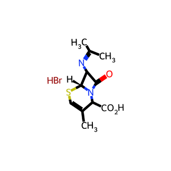 Br.CC1=CS[C@@H]2C(N=C(C)C)C(=O)N2C1C(=O)O